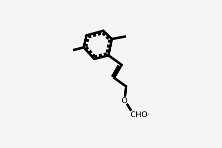 Cc1ccc(C)c(C=CCO[C]=O)c1